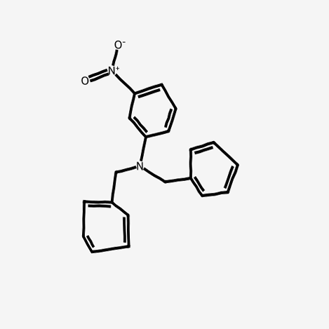 O=[N+]([O-])c1cccc(N(Cc2ccccc2)Cc2ccccc2)c1